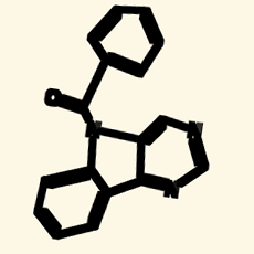 O=C(c1ccccc1)n1c2ccccc2c2ncncc21